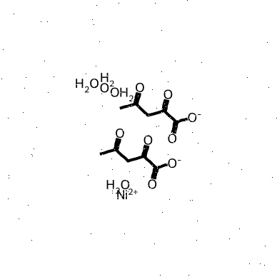 CC(=O)CC(=O)C(=O)[O-].CC(=O)CC(=O)C(=O)[O-].O.O.O.O.[Ni+2]